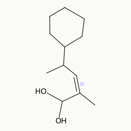 C/C(=C/C(C)C1CCCCC1)C(O)O